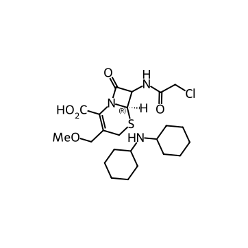 C1CCC(NC2CCCCC2)CC1.COCC1=C(C(=O)O)N2C(=O)C(NC(=O)CCl)[C@H]2SC1